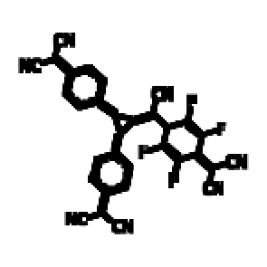 N#CC(C#N)=C1C(F)=C(F)C(C(C#N)=C2C(=c3ccc(=C(C#N)C#N)cc3)C2=c2ccc(=C(C#N)C#N)cc2)C(F)=C1F